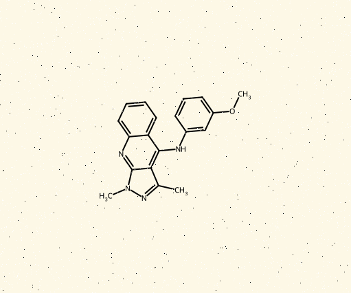 COc1cccc(Nc2c3ccccc3nc3c2c(C)nn3C)c1